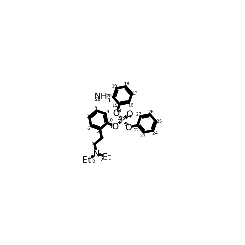 CCN(CC)CCc1ccccc1OP(=O)(Oc1ccccc1)Oc1ccccc1.N